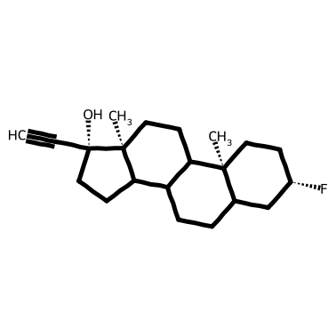 C#C[C@]1(O)CCC2C3CCC4C[C@@H](F)CC[C@]4(C)C3CC[C@@]21C